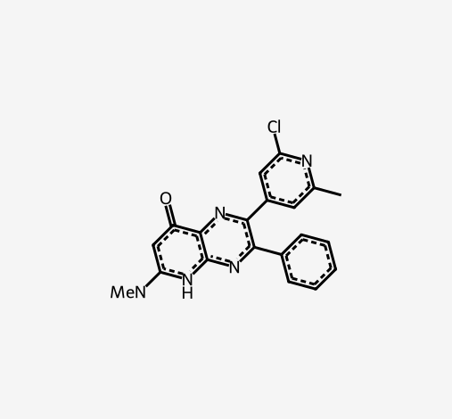 CNc1cc(=O)c2nc(-c3cc(C)nc(Cl)c3)c(-c3ccccc3)nc2[nH]1